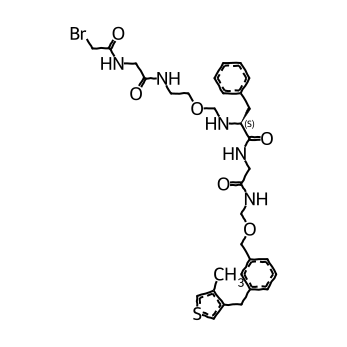 Cc1cscc1Cc1cccc(COCNC(=O)CNC(=O)[C@H](Cc2ccccc2)NCOCCNC(=O)CNC(=O)CBr)c1